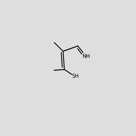 C/C(S)=C(\C)C=N